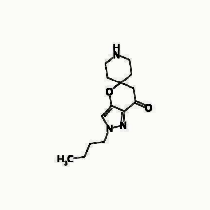 CCCCn1cc2c(n1)C(=O)CC1(CCNCC1)O2